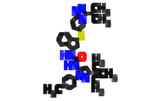 Cc1ccc(-n2nc(C(C)(C)C)cc2NC(=O)NC2CC(Sc3ccc4nnc(C(C)C)n4c3)c3ccccc32)cc1